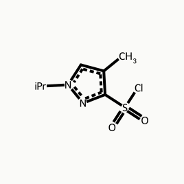 Cc1cn(C(C)C)nc1S(=O)(=O)Cl